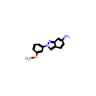 COc1cccc(-n2cc3ccc(N)cc3n2)c1